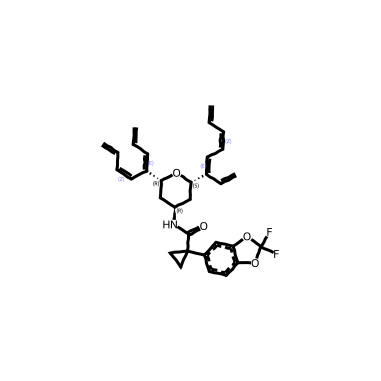 C=C/C=C\C=C(/C=C)[C@@H]1C[C@@H](NC(=O)C2(c3ccc4c(c3)OC(F)(F)O4)CC2)C[C@H](C(/C=C\C=C)=C/C=C)O1